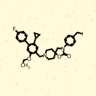 CCOc1cc(-c2ccc(F)cc2)c(C2CC2)cc1CN1CCC2(CC1)CN(c1ccc(CI)cc1)C(=O)O2